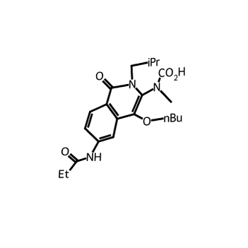 CCCCOc1c(N(C)C(=O)O)n(CC(C)C)c(=O)c2ccc(NC(=O)CC)cc12